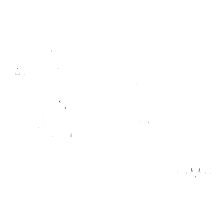 COCCCOc1cc2c(cc1Cl)-c1cc(=O)c(C(C)=O)cn1[C@H]1[C@@H]2CCC12CC2